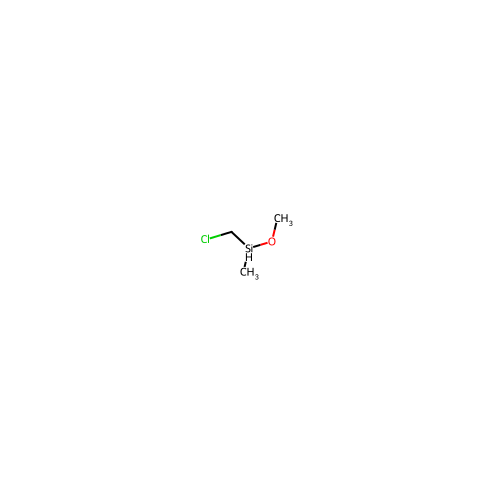 CO[SiH](C)CCl